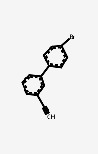 C#Cc1cccc(-c2ccc(Br)cc2)c1